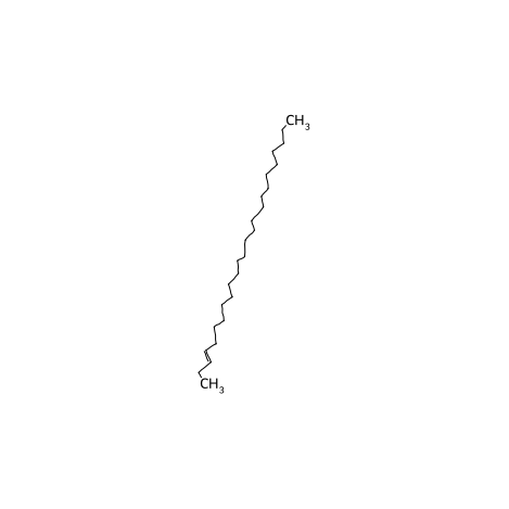 CCC=CCCCCCCCCCCCCCCCCCCCCC